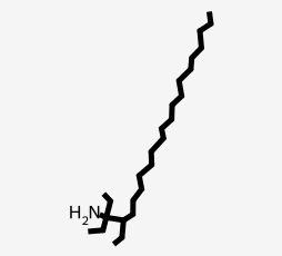 CCCCCCCCCCCCCCCCCCC(CC)C(N)(CC)CC